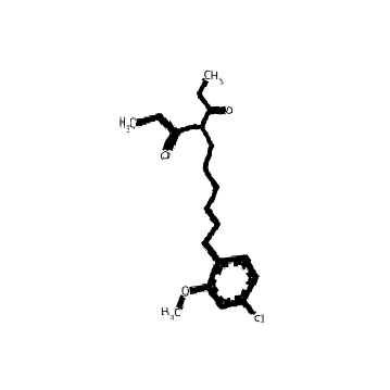 CCC(=O)C(CCCCCCc1ccc(Cl)cc1OC)C(=O)CC